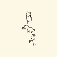 FC(F)(CNc1ncc2c(-c3ccn4nccc4c3)c[nH]c2n1)C1CC1